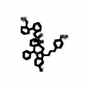 O=C(O)c1ccc(CCCc2c(CCNS(=O)(=O)Cc3ccccc3-c3ccccc3OC(F)(F)F)n(C(c3ccccc3)c3ccccc3)c3ccc(Cl)cc23)cc1